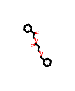 O=C(CCOCc1ccccc1)OCC(=O)c1ccccc1